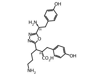 NCCCC(c1nnc([C@@H](N)Cc2ccc(O)cc2)o1)[C@@H](Cc1ccc(O)cc1)C(=O)O